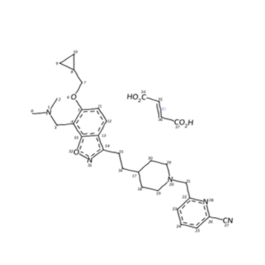 CN(C)Cc1c(OCC2CC2)ccc2c(CCC3CCN(Cc4cccc(C#N)n4)CC3)noc12.O=C(O)/C=C/C(=O)O